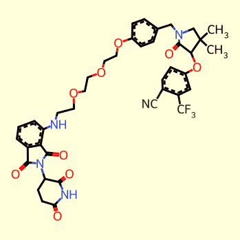 CC1(C)CN(Cc2ccc(OCCOCCOCCNc3cccc4c3C(=O)N(C3CCC(=O)NC3=O)C4=O)cc2)C(=O)C1Oc1ccc(C#N)c(C(F)(F)F)c1